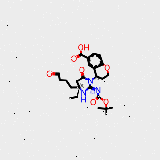 CC[C@@]1(CCCC=O)CC(=O)N([C@@H]2CCOc3ccc(C(=O)O)cc32)/C(=N/C(=O)OC(C)(C)C)N1